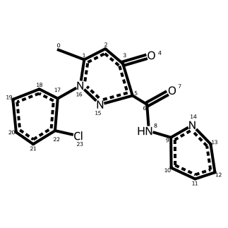 Cc1cc(=O)c(C(=O)Nc2ccccn2)nn1-c1ccccc1Cl